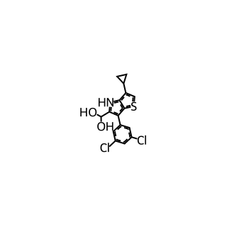 OC(O)c1[nH]c2c(C3CC3)csc2c1-c1cc(Cl)cc(Cl)c1